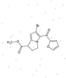 COC(=O)C1CCn2c1cc(Br)c2C(=O)c1ccco1